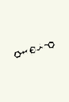 CC(C)(C(=O)O[C@H]1C[N+]2(CC(=O)NCc3ccccc3)CCC1CC2)c1ccccc1